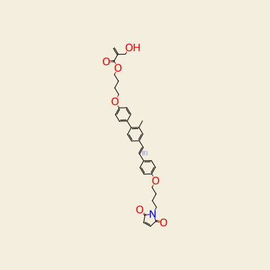 C=C(CO)C(=O)OCCCCOc1ccc(-c2ccc(/C=C/c3ccc(OCCCCN4C(=O)C=CC4=O)cc3)cc2C)cc1